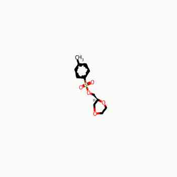 Cc1ccc(S(=O)(=O)OC[C@@H]2COCCO2)cc1